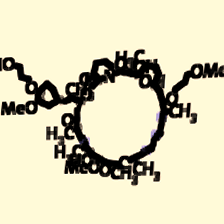 COCCCOC1C[C@@H]2CC[C@@H](C)[C@@](O)(O2)C(=O)C(=O)N2CCCC[C@H]2C(=O)O[C@H]([C@H](C)C[C@@H]2CC[C@@H](OCCCO)[C@H](OC)C2)CC(=O)[C@H](C)/C=C(\C)[C@@H](O)[C@@H](OC)C(=O)[C@H](C)C[C@H](C)/C=C/C=C/C=C/1C